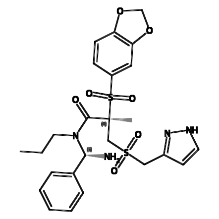 CCCN(C(=O)[C@](C)(CS(=O)(=O)Cc1cc[nH]n1)S(=O)(=O)c1ccc2c(c1)OCO2)[C@H](N)c1ccccc1